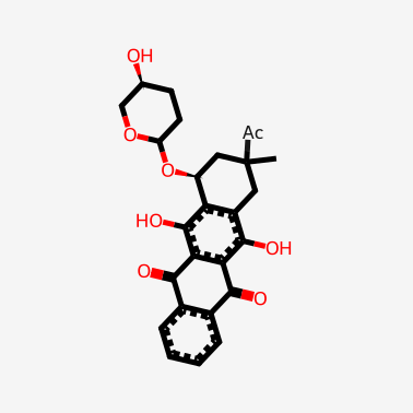 CC(=O)C1(C)Cc2c(O)c3c(c(O)c2[C@@H](OC2CC[C@H](O)CO2)C1)C(=O)c1ccccc1C3=O